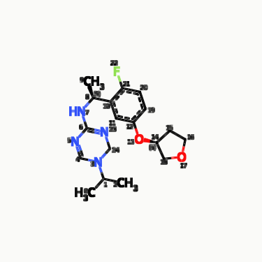 CC(C)N1C=NC(N[C@@H](C)c2cc(O[C@H]3CCOC3)ccc2F)=NC1